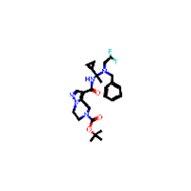 CC(C)(C)OC(=O)N1CCn2ncc(C(=O)NC(C)(C3CC3)N(Cc3ccccc3)CC(F)F)c2C1